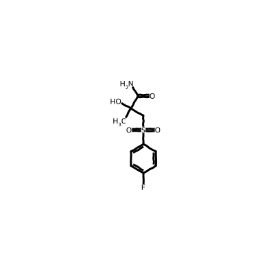 CC(O)(CS(=O)(=O)c1ccc(F)cc1)C(N)=O